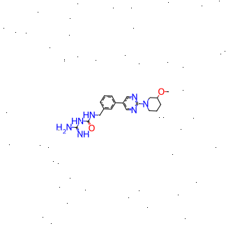 COC1CCCN(c2ncc(-c3cccc(CNC(=O)NC(=N)N)c3)cn2)C1